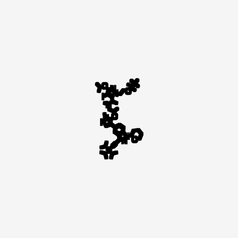 CC(C)Oc1nn(CCO[Si](C)(C)C(C)(C)C)c(C(C)N(C)CC(C)Oc2c(-c3ccc4c(c3)c(C#C[Si](C(C)C)(C(C)C)C(C)C)nn4C3CCCCO3)cnn2C)c1I